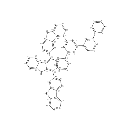 c1ccc(-c2cccc(-c3nc(-c4ccccc4)nc(-c4cccc5oc6ccc(-c7ccc(-c8ccc9c(c8)sc8ccccc89)c8sc9ccccc9c78)cc6c45)n3)c2)cc1